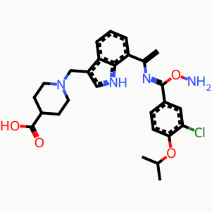 C=C(/N=C(\ON)c1ccc(OC(C)C)c(Cl)c1)c1cccc2c(CN3CCC(C(=O)O)CC3)c[nH]c12